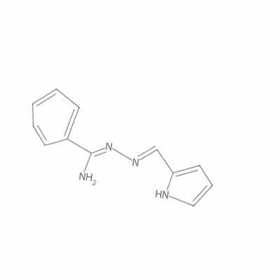 NC(=NN=Cc1ccc[nH]1)c1ccccc1